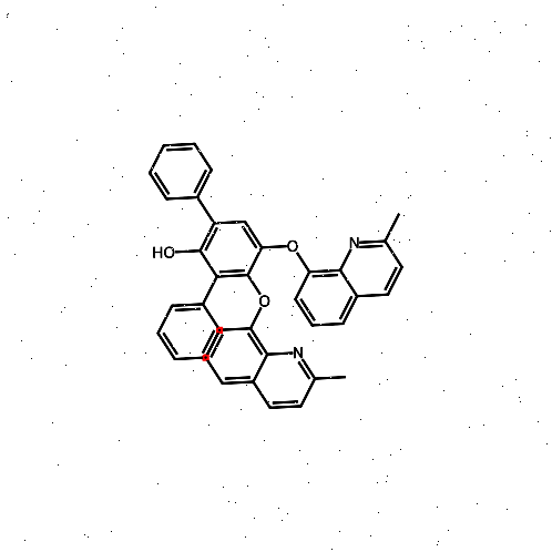 Cc1ccc2cccc(Oc3cc(-c4ccccc4)c(O)c(-c4ccccc4)c3Oc3cccc4ccc(C)nc34)c2n1